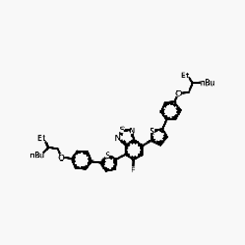 CCCCC(CC)COc1ccc(-c2ccc(-c3cc(F)c(-c4ccc(-c5ccc(OCC(CC)CCCC)cc5)s4)c4nsnc34)s2)cc1